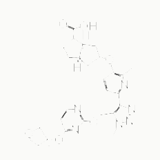 Cc1nc(-c2nnn(C)c2COc2nccc(O[C@@H]3CCOC3)n2)ccc1O[C@H]1C[C@H]2CCC(C(=O)O)[C@H]2C1